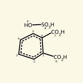 O=C(O)c1ccccc1C(=O)O.O=S(=O)(O)O